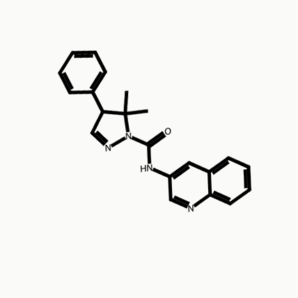 CC1(C)C(c2ccccc2)C=NN1C(=O)Nc1cnc2ccccc2c1